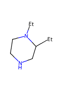 [CH2]CC1CNCCN1CC